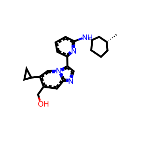 C[C@@H]1CCC[C@H](Nc2cccc(-c3cnc4cc(CO)c(C5CC5)cn34)n2)C1